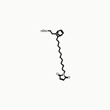 CCCCCCCCCCCCC1C2C=CC(C2)C1CCCCCCCCCCCCN1C(=O)C=CC1=O